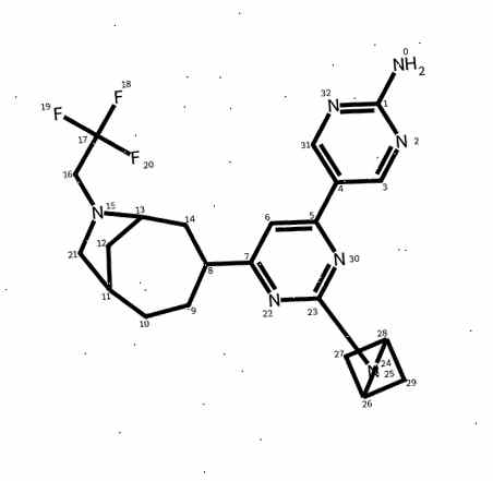 Nc1ncc(-c2cc(C3CCC4CC(C3)N(CC(F)(F)F)C4)nc(N3CC4CC3C4)n2)cn1